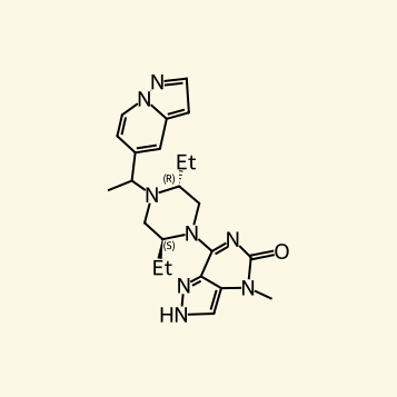 CC[C@H]1CN(C(C)c2ccn3nccc3c2)[C@H](CC)CN1c1nc(=O)n(C)c2c[nH]nc12